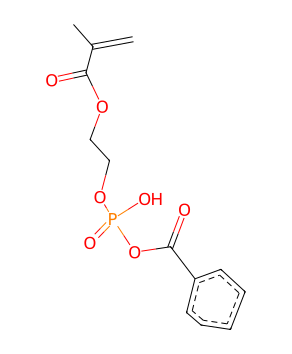 C=C(C)C(=O)OCCOP(=O)(O)OC(=O)c1ccccc1